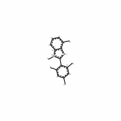 Cc1cc(C)c(-c2nc3c(C)cccc3n2C)c(C)c1